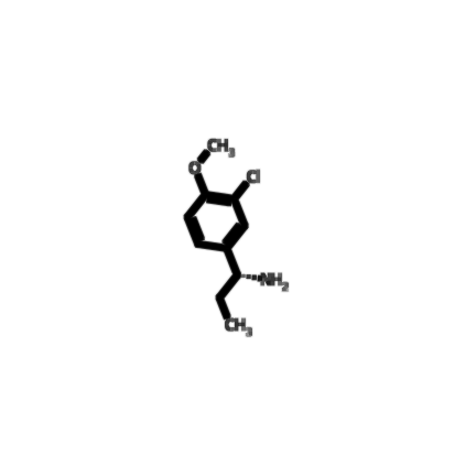 CC[C@@H](N)c1ccc(OC)c(Cl)c1